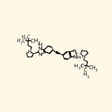 CC(C)(C)CCN1CCCC1c1nc2cc(C#Cc3ccc4[nH]c([C@@H]5CCCN5CCC(C)(C)C)nc4c3)ccc2[nH]1